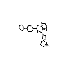 c1cnc2c(n1)CC(c1ccc(N3CCCC3)cc1)N=C2N1CCC2(CCCNC2)C1